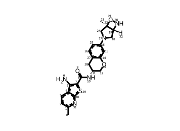 Cc1ccc2c(N)c(C(=O)N[C@H]3COc4cc(N5C[C@H]6NO[C@]6(C)C5)ccc4C3)sc2n1